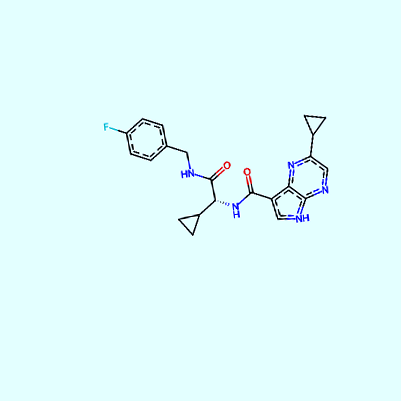 O=C(N[C@@H](C(=O)NCc1ccc(F)cc1)C1CC1)c1c[nH]c2ncc(C3CC3)nc12